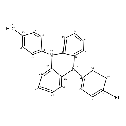 CCC1=CC=C(N2c3ccccc3N(c3ccc(C)cc3)c3ccccc32)CC1